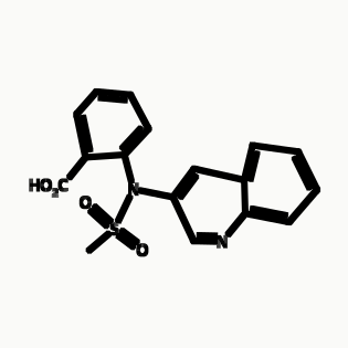 CS(=O)(=O)N(c1cnc2ccccc2c1)c1ccccc1C(=O)O